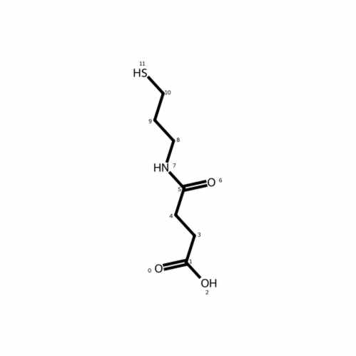 O=C(O)CCC(=O)NCCCS